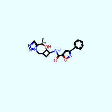 C[C@@H](O)c1cnnn1CC1CC(NC(=O)c2cc(-c3ccccc3)no2)C1